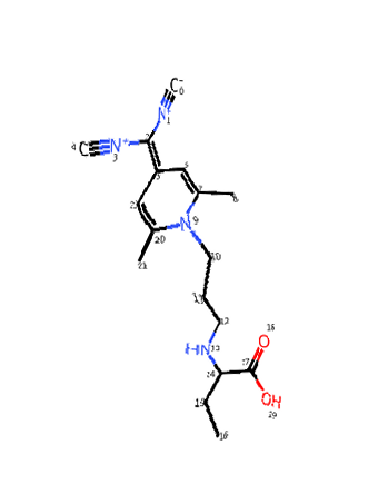 [C-]#[N+]C([N+]#[C-])=C1C=C(C)N(CCCNC(CC)C(=O)O)C(C)=C1